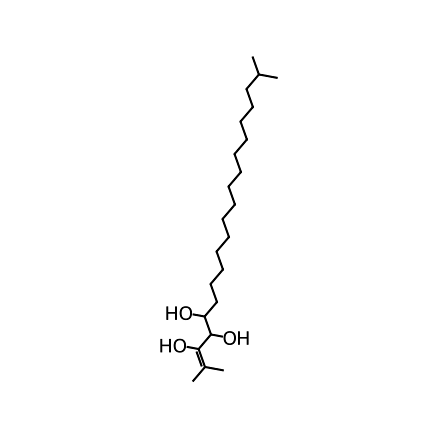 CC(C)=C(O)C(O)C(O)CCCCCCCCCCCCCCC(C)C